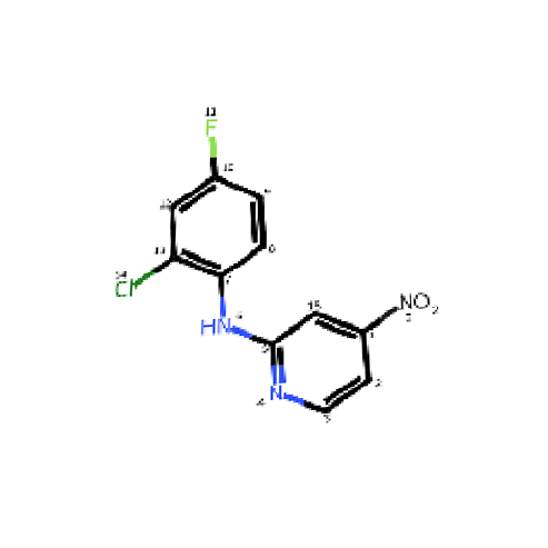 O=[N+]([O-])c1ccnc(Nc2ccc(F)cc2Cl)c1